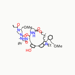 C=CC(=O)N1CCN(C(=O)N(C)[C@H](C(=O)N[C@H]2Cc3cc(O)cc(c3)-c3ccc4c(c3)c(c(-c3ccccc3CCOC)n4CC)CC(C)(C)COC(=O)[C@@H]3CCCN(N3)C2=O)C(C)C)C[C@@H]1COC